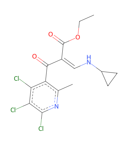 CCOC(=O)/C(=C\NC1CC1)C(=O)c1c(C)nc(Cl)c(Cl)c1Cl